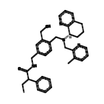 CCC(C(=O)NCc1ccc(CN(Cc2ncccc2C)[C@H]2CCCc3cccnc32)c(CO)c1)c1ccccc1